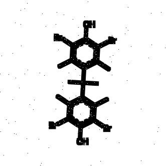 Cc1c(Br)c(O)c(Br)c(C)c1C(C)(C)c1c(C)c(Br)c(O)c(Br)c1C